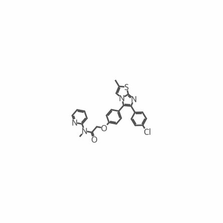 Cc1cn2c(-c3ccc(OCC(=O)N(C)c4ccccn4)cc3)c(-c3ccc(Cl)cc3)nc2s1